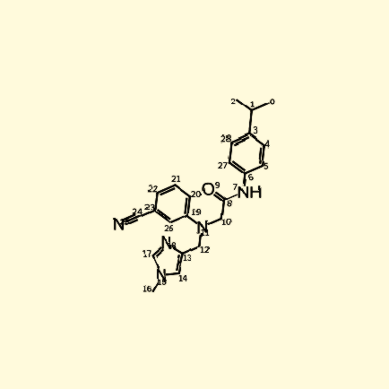 CC(C)c1ccc(NC(=O)CN(Cc2cn(C)cn2)c2cccc(C#N)c2)cc1